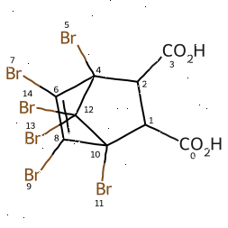 O=C(O)C1C(C(=O)O)C2(Br)C(Br)=C(Br)C1(Br)C2(Br)Br